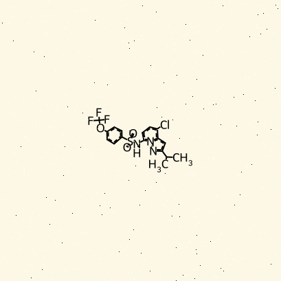 CC(C)c1cc2c(Cl)ccc(NS(=O)(=O)c3ccc(OC(F)(F)F)cc3)n2n1